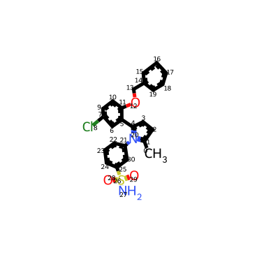 Cc1ccc(-c2cc(Cl)ccc2OCc2ccccc2)n1-c1cccc(S(N)(=O)=O)c1